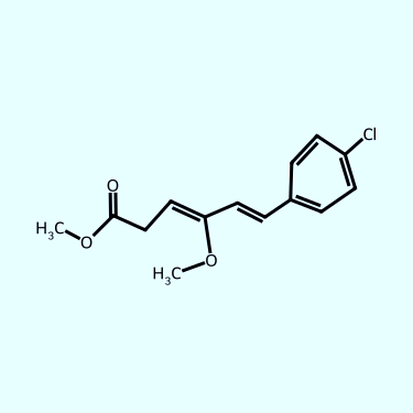 COC(=O)CC=C(C=Cc1ccc(Cl)cc1)OC